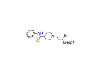 CCCCCCCC(CC)CCN1CCC(C(=O)Nc2ccccc2)CC1